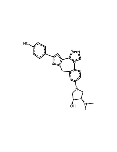 CN(C)[C@@H]1CN(c2ccc3c(c2)Cn2cc(-c4ccc(C#N)cc4)cc2-c2nncn2-3)C[C@@H]1O